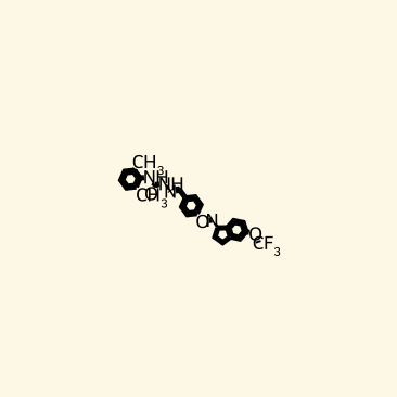 Cc1cccc(C)c1NC(=O)N/N=C/c1ccc(O/N=C2\CCc3cc(OC(F)(F)F)ccc32)cc1